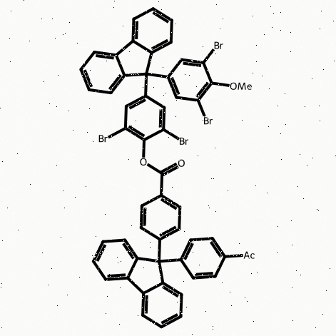 COc1c(Br)cc(C2(c3cc(Br)c(OC(=O)c4ccc(C5(c6ccc(C(C)=O)cc6)c6ccccc6-c6ccccc65)cc4)c(Br)c3)c3ccccc3-c3ccccc32)cc1Br